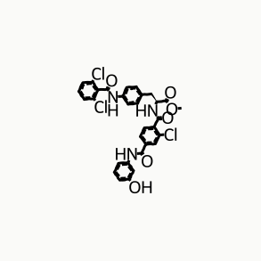 COC(=O)[C@H](Cc1ccc(NC(=O)c2c(Cl)cccc2Cl)cc1)NC(=O)c1ccc(C(=O)Nc2cccc(O)c2)cc1Cl